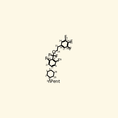 CCCCC[C@H]1CC[C@H](c2cc(F)c(C(F)(F)OCCc3cc(F)c(F)c(F)c3)c(F)c2)CC1